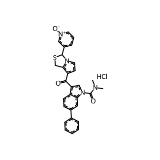 CN(C)C(=O)n1cc(C(=O)c2ccn3c2CSC3c2ccc[n+]([O-])c2)c2ccc(-c3ccccc3)cc21.Cl